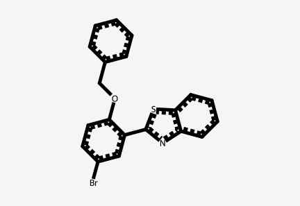 Brc1ccc(OCc2ccccc2)c(-c2nc3ccccc3s2)c1